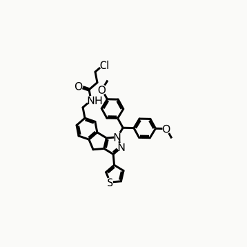 COc1ccc(C(c2ccc(OC)cc2)n2nc(-c3ccsc3)c3c2-c2cc(CNC(=O)CCCl)ccc2C3)cc1